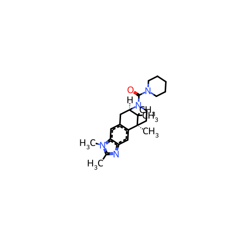 Cc1nc2cc3c(cc2n1C)C[C@H]1N(C(=O)N2CCCCC2)CC[C@]3(C)C1(C)C